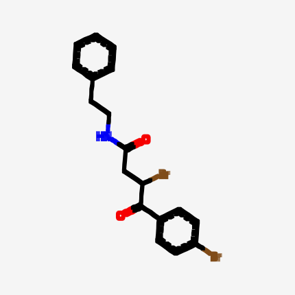 O=C(CC(Br)C(=O)c1ccc(Br)cc1)NCCc1ccccc1